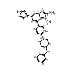 N#Cc1c(N)nn2cc(-c3cc[nH]n3)cc(-c3ccc(N4CCN(Cc5ccccc5)CC4)nc3)c12